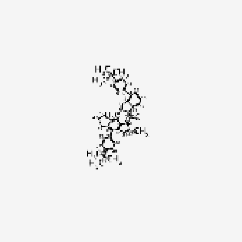 CC1=Cc2c(-c3ccc(C(C)(C)C)cc3)cccc2[CH]1[Zr]([Cl])[CH]1C(C)=Cc2c1cc1c(c2-c2ccc(C(C)(C)C)cc2)CCC1